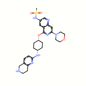 CS(=O)(=O)Nc1cnc2cc(N3CCOCC3)nc(O[C@H]3CC[C@@H](Nc4ccc5c(n4)CCNC5)CC3)c2c1